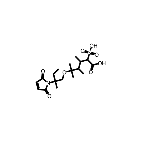 CCC(C)(COC(C)(C)C(C)C(C)C(C(=O)O)S(=O)(=O)O)N1C(=O)C=CC1=O